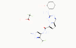 Cn1cc(NC(=O)c2ccc3cnc(N[C@@H]4CCCC[C@@H]4O)nn23)c(C(F)F)n1.O=C(O)C(F)(F)F